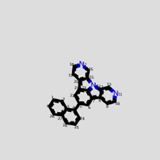 c1ccc2c(-c3cc4c5ccncc5n5c6cnccc6c(c3)c45)cccc2c1